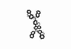 c1ccc2cc(N(c3ccc4c(c3)Oc3cccc5c(N(c6ccc7ccccc7c6)c6ccc7sc8ccccc8c7c6)ccc-4c35)c3ccc4sc5ccccc5c4c3)ccc2c1